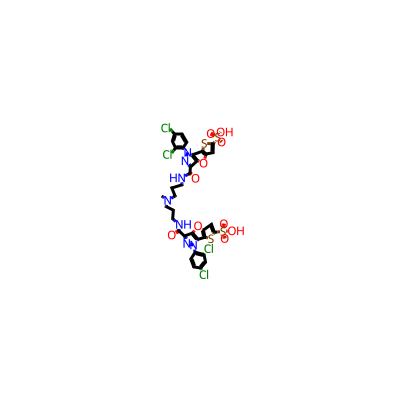 CN(CCCNC(=O)c1nn(-c2ccc(Cl)cc2Cl)c2c1oc1cc(S(=O)(=O)O)sc12)CCCNC(=O)c1nn(-c2ccc(Cl)cc2Cl)c2c1oc1cc(S(=O)(=O)O)sc12